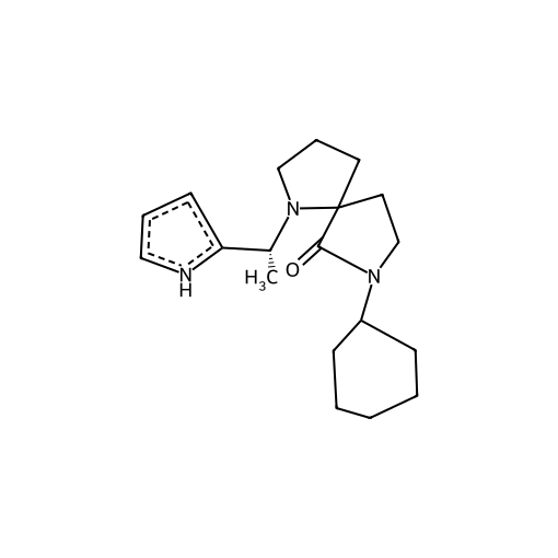 C[C@H](c1ccc[nH]1)N1CCCC12CCN(C1CCCCC1)C2=O